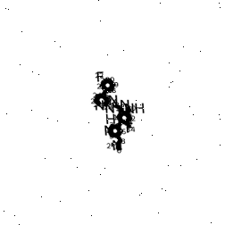 CN(C)Cc1cncc(-c2cc3c(-c4nc5c(-c6cccc(F)c6)ccnc5[nH]4)n[nH]c3cc2F)c1